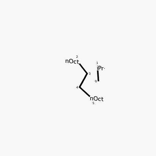 C[C](C)C.[CH2]CCCCCCCCCCCCCCCCC